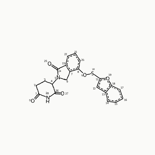 O=C1CCC(N2Cc3c(OSc4cc5ccccc5o4)cccc3C2=O)C(=O)N1